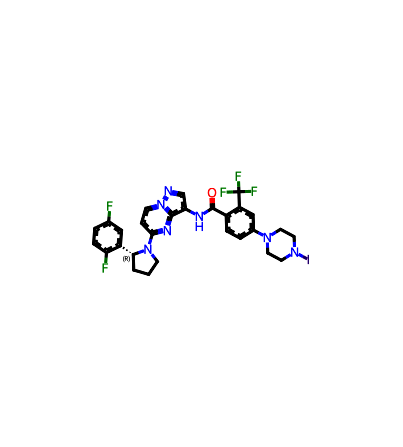 O=C(Nc1cnn2ccc(N3CCC[C@@H]3c3cc(F)ccc3F)nc12)c1ccc(N2CCN(I)CC2)cc1C(F)(F)F